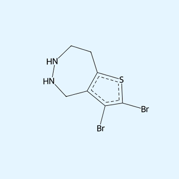 Brc1sc2c(c1Br)CNNCC2